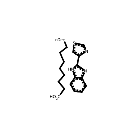 CCCCCCCCCCCCCCCCCC(=O)O.c1ccc2[nH]c(-c3cscn3)nc2c1